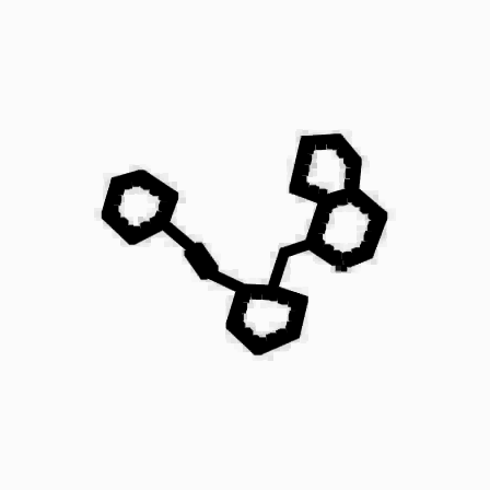 C(#Cc1ccccc1Cc1nccc2ccccc12)c1ccccc1